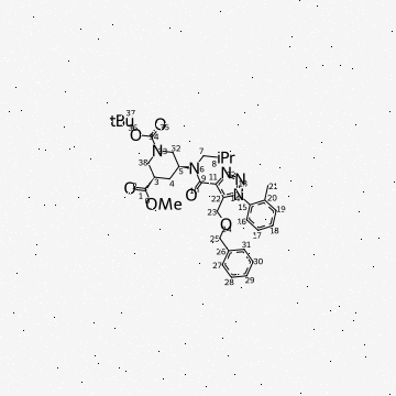 COC(=O)[C@@H]1C[C@H](N(CC(C)C)C(=O)c2nnn(-c3ccccc3C)c2COCc2ccccc2)CN(C(=O)OC(C)(C)C)C1